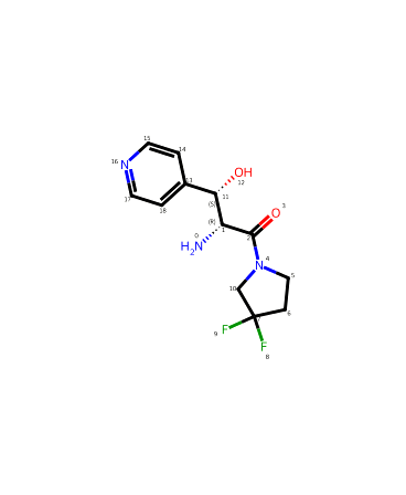 N[C@@H](C(=O)N1CCC(F)(F)C1)[C@@H](O)c1ccncc1